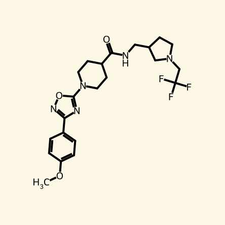 COc1ccc(-c2noc(N3CCC(C(=O)NCC4CCN(CC(F)(F)F)C4)CC3)n2)cc1